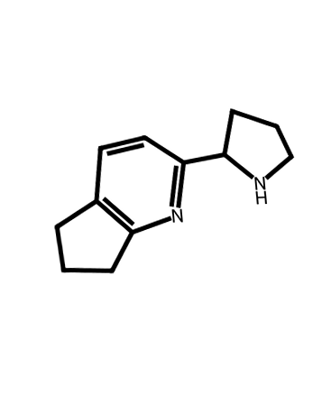 c1cc2c(nc1C1CCCN1)CCC2